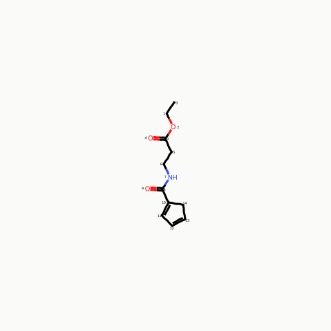 CCOC(=O)CCNC(=O)C1=CC=CC1